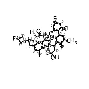 Cc1cc(-c2c(C)cc(F)cc2Cl)cc(C(CC(=O)O)NC(=O)C(CC(C)C)n2cc(CCN3CC(F)C3)cc(F)c2=O)c1F